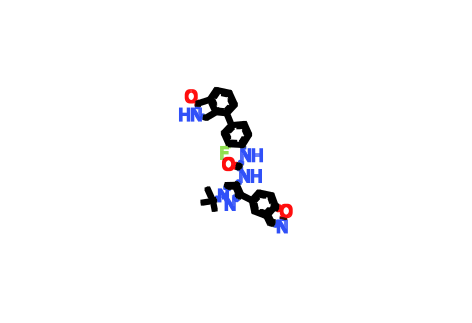 CC(C)(C)n1cc(NC(=O)Nc2ccc(-c3cccc4c3CNC4=O)cc2F)c(-c2ccc3oncc3c2)n1